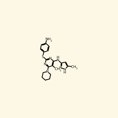 Cc1cc(Nc2nc(Sc3ccc(N)cc3)nc(N3CCCCC3)c2C)n[nH]1